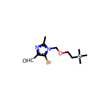 Cc1nc(C=O)c(Br)n1COCC[Si](C)(C)C